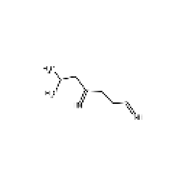 CC(C)CC(=N)CCC=N